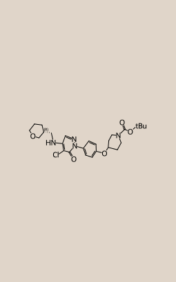 CC(C)(C)OC(=O)N1CCC(Oc2ccc(-n3ncc(NC[C@H]4CCCOC4)c(Cl)c3=O)cc2)CC1